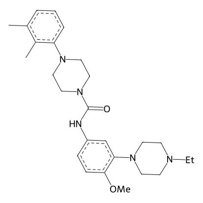 CCN1CCN(c2cc(NC(=O)N3CCN(c4cccc(C)c4C)CC3)ccc2OC)CC1